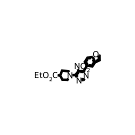 CCOC(=O)C1CCN(c2ncnc(-c3ccc4occc4c3)c2[N+](=O)[O-])CC1